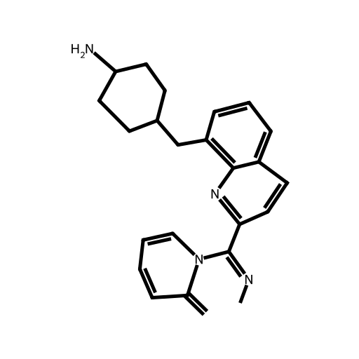 C=C1C=CC=CN1/C(=N\C)c1ccc2cccc(CC3CCC(N)CC3)c2n1